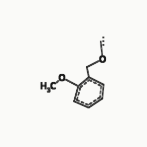 [C]OCc1ccccc1OC